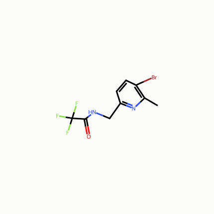 Cc1nc(CNC(=O)C(F)(F)F)ccc1Br